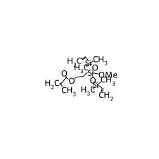 C=C[Si](C)(C)O[Si](CCCOC(=O)C(=C)C)(OC)O[Si](C)(C)C=C